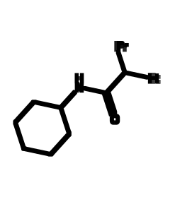 CCC(C(=O)NC1CCCCC1)C(C)C